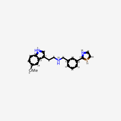 COc1ccc2[nH]cc(CCNCc3cccc(-c4nccs4)c3)c2c1